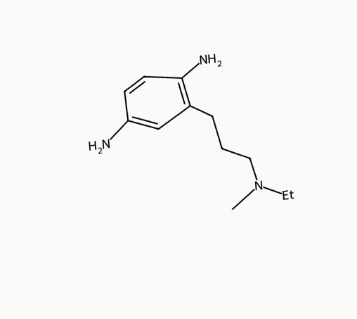 CCN(C)CCCc1cc(N)ccc1N